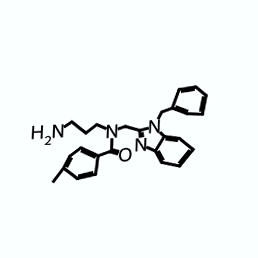 Cc1ccc(C(=O)N(CCCN)Cc2nc3ccccc3n2Cc2ccccc2)cc1